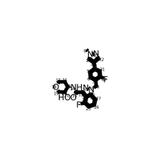 Cn1cc(-c2ccc(Cn3nc(C(=O)N[C@H]4CCOC[C@@H]4O)c4c(F)cccc43)c(F)c2)cn1